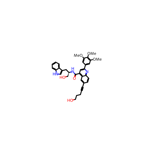 COc1cc(-c2cc(C(=O)N[C@@H](CO)Cc3c[nH]c4ccccc34)c3cc(C#CCCCO)ccc3n2)cc(OC)c1OC